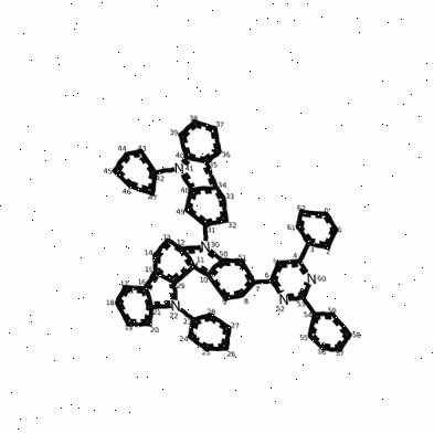 c1ccc(-c2cc(-c3ccc4c5c(ccc6c7ccccc7n(-c7ccccc7)c65)n(-c5ccc6c7ccccc7n(-c7ccccc7)c6c5)c4c3)nc(-c3ccccc3)n2)cc1